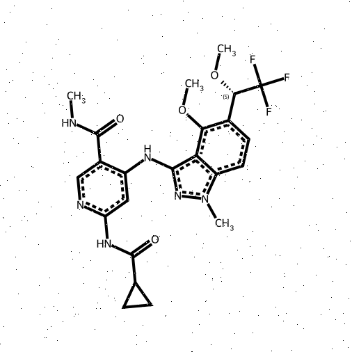 CNC(=O)c1cnc(NC(=O)C2CC2)cc1Nc1nn(C)c2ccc([C@H](OC)C(F)(F)F)c(OC)c12